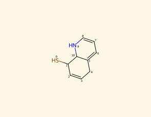 SC1C=CCC2=CC=CNC21